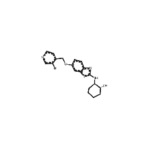 O[C@@H]1CCCCC1Nc1nc2ccc(OCc3ccncc3Br)cc2s1